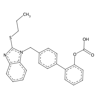 CCCSc1nc2ccccc2n1Cc1ccc(-c2ccccc2OC(=O)O)cc1